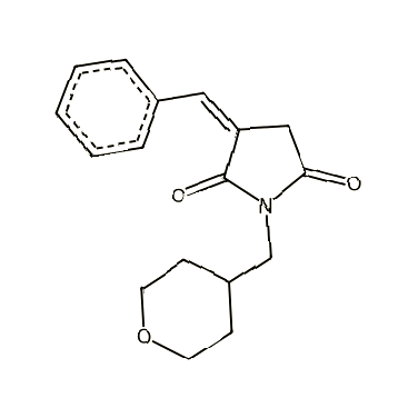 O=C1CC(=Cc2ccccc2)C(=O)N1CC1CCOCC1